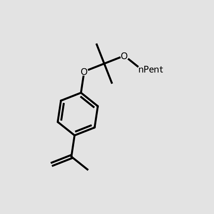 C=C(C)c1ccc(OC(C)(C)OCCCCC)cc1